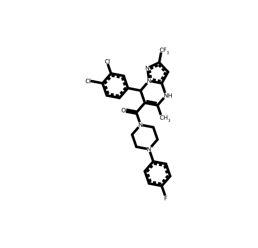 CC1=C(C(=O)N2CCN(c3ccc(F)cc3)CC2)C(c2ccc(Cl)c(Cl)c2)n2nc(C(F)(F)F)cc2N1